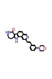 O=C1NCCCc2[nH]c3c(ccc4cnc(/C=C/c5cccc(N6CCOCC6)c5)cc43)c21